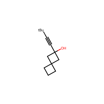 CC(C)(C)C#CC1(O)CC2(CCC2)C1